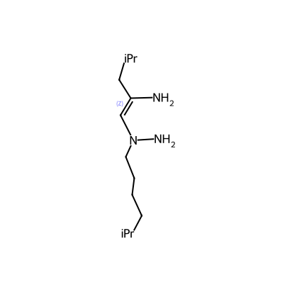 CC(C)CCCCN(N)/C=C(\N)CC(C)C